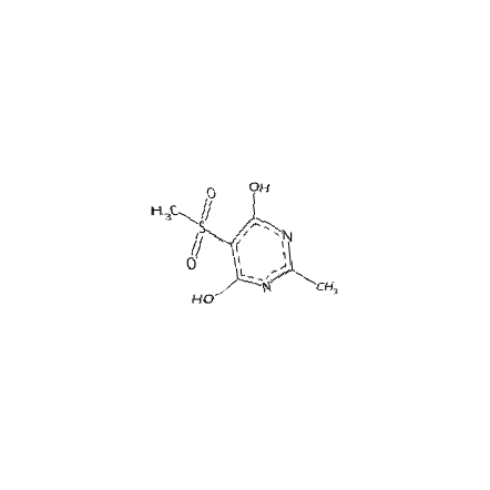 Cc1nc(O)c(S(C)(=O)=O)c(O)n1